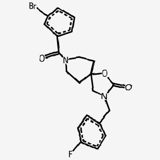 O=C1OC2(CCN(C(=O)c3cccc(Br)c3)CC2)CN1Cc1ccc(F)cc1